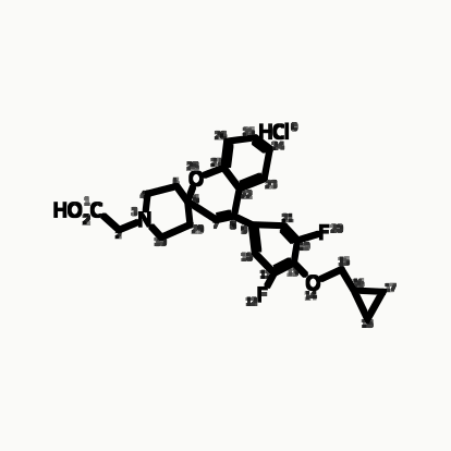 Cl.O=C(O)CN1CCC2(C=C(c3cc(F)c(OCC4CC4)c(F)c3)c3ccccc3O2)CC1